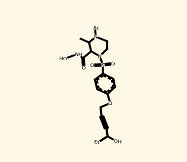 CCC(O)C#CCOc1ccc(S(=O)(=O)N2CCN(C(C)=O)C(C)C2C(=O)NO)cc1